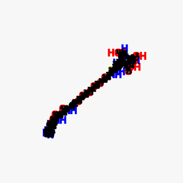 O=C(O)CC1CNC(CC(=O)O)C(Cc2ccc(NC(=S)NCCOCCOCCOCCOCCOCCOCCCCCNC(=O)CCCC(=O)NOc3ccc(-c4nncnn4)cc3)cc2)NC(CC(=O)O)CN1